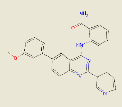 COc1cccc(-c2ccc3nc(C4C=NC=CC4)nc(Nc4ccccc4C(N)=O)c3c2)c1